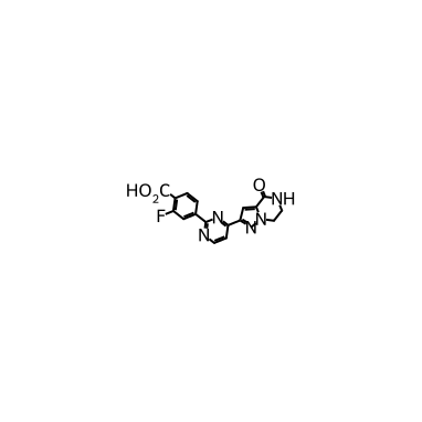 O=C(O)c1ccc(-c2nccc(-c3cc4n(n3)CCNC4=O)n2)cc1F